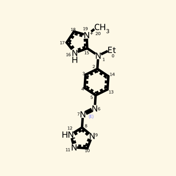 CCN(c1ccc(/N=N/c2ncn[nH]2)cc1)c1[nH]cc[n+]1C